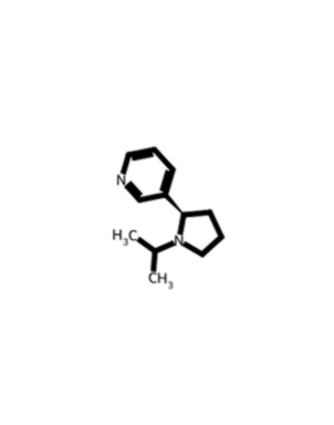 CC(C)N1CCC[C@@H]1c1cccnc1